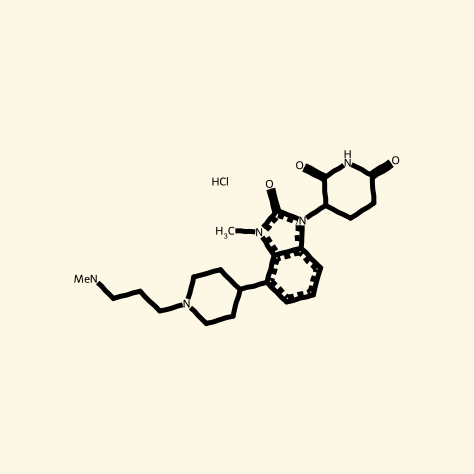 CNCCCN1CCC(c2cccc3c2n(C)c(=O)n3C2CCC(=O)NC2=O)CC1.Cl